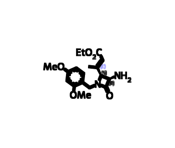 CCOC(=O)/C=C(\C)[C@H]1[C@@H](N)C(=O)N1Cc1ccc(OC)cc1OC